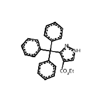 CCOC(=O)c1c[nH]nc1C(c1ccccc1)(c1ccccc1)c1ccccc1